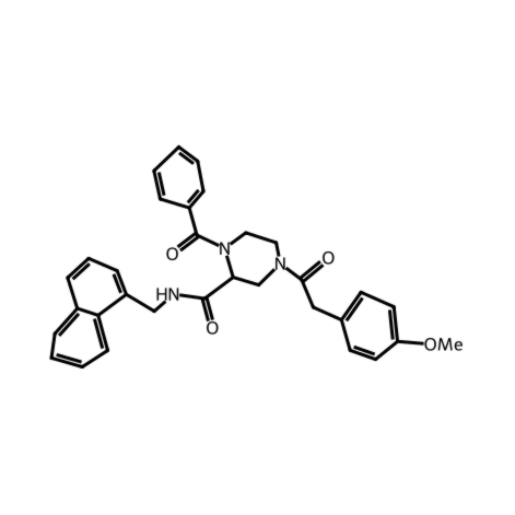 COc1ccc(CC(=O)N2CCN(C(=O)c3ccccc3)C(C(=O)NCc3cccc4ccccc34)C2)cc1